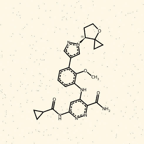 COc1c(Nc2cc(NC(=O)C3CC3)nnc2C(N)=O)cccc1-c1cnn([C@H]2CCOC23CC3)c1